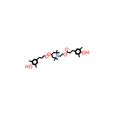 Cc1cc(CCCOOC2CC(C)(C)N(CCOC(=O)CCc3cc(C)c(O)c(C)c3)C(C)(C)C2)cc(C)c1O